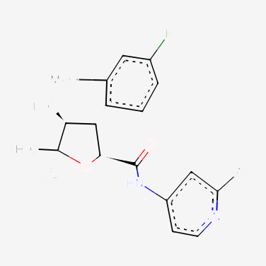 COc1cc(F)ccc1[C@@H]1[C@@H](C(=O)Nc2ccnc(C(C)=O)c2)O[C@](C)(C(F)(F)F)[C@H]1C